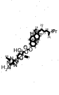 C#C[C@]1(COC(=O)O[C@H]2CC[C@@]3(C)C(=CC[C@H]4[C@@H]5CC[C@H]([C@H](C)CC[C@@H](C)C(C)C)[C@@]5(C)CC[C@@H]43)C2)O[C@@H](n2cnc3c(N)nc(C)nc32)C[C@@H]1O